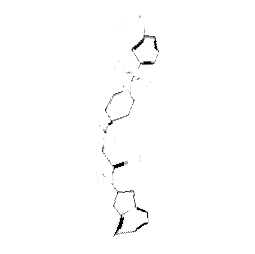 O=C(CON=C1CCN(S(=O)(=O)c2cccc(C(F)(F)F)c2)CC1)NC1Cc2ccccc2C1